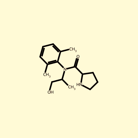 Cc1cccc(C)c1N(C(=O)C1CCCN1)C(C)CO